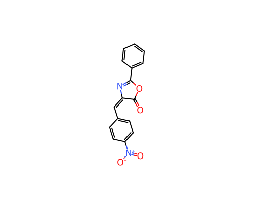 O=C1OC(c2ccccc2)=N/C1=C/c1ccc([N+](=O)[O-])cc1